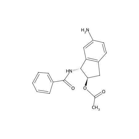 CC(=O)O[C@@H]1Cc2ccc(N)cc2[C@H]1NC(=O)c1ccccc1